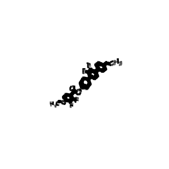 CCOc1ccc(C(=O)OC2CCC(c3ccc(-c4ccc(CC)cc4)c(F)c3F)CC2)c(F)c1F